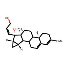 COC1=CC2=CCC3C(CC[C@@]4(C)C3[C@@H]3C[C@@H]3[C@@]4(O)/C=C\CO)[C@H]2CC1